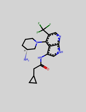 N[C@@H]1CCCN(c2c(C(F)(F)F)cnc3[nH]cc(NC(=O)CC4CC4)c23)C1